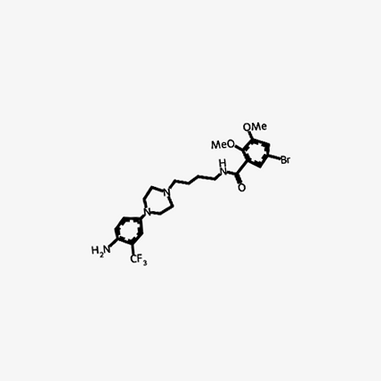 COc1cc(Br)cc(C(=O)NCCCCN2CCN(c3ccc(N)c(C(F)(F)F)c3)CC2)c1OC